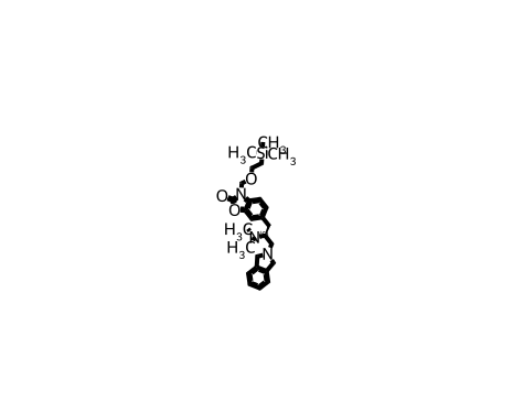 CN(C)[C@@H](Cc1ccc2c(c1)oc(=O)n2COCC[Si](C)(C)C)CN1Cc2ccccc2C1